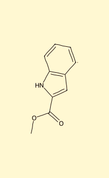 COC(=O)c1cc2[c]cccc2[nH]1